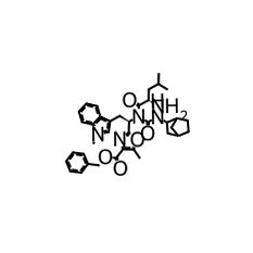 Cc1oc([C@@H](Cc2cn(C)c3ccccc23)N(C(=O)NC2CC3CCC2C3)C(=O)[C@@H](N)CC(C)C)nc1C(=O)OCc1ccccc1